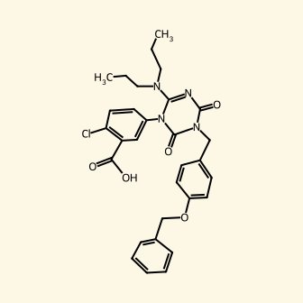 CCCN(CCC)c1nc(=O)n(Cc2ccc(OCc3ccccc3)cc2)c(=O)n1-c1ccc(Cl)c(C(=O)O)c1